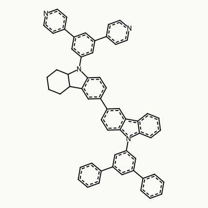 c1ccc(-c2cc(-c3ccccc3)cc(-n3c4ccccc4c4cc(-c5ccc6c(c5)C5CCCCC5N6c5cc(-c6ccncc6)cc(-c6ccncc6)c5)ccc43)c2)cc1